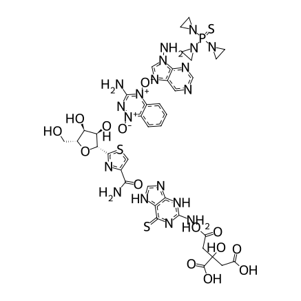 NC(=O)c1csc([C@@H]2O[C@H](CO)[C@@H](O)[C@H]2O)n1.Nc1n[n+]([O-])c2ccccc2[n+]1[O-].Nc1nc(=S)c2[nH]cnc2[nH]1.Nn1cnc2cncnc21.O=C(O)CC(O)(CC(=O)O)C(=O)O.S=P(N1CC1)(N1CC1)N1CC1